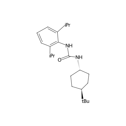 CC(C)c1cccc(C(C)C)c1NC(=O)N[C@H]1CC[C@H](C(C)(C)C)CC1